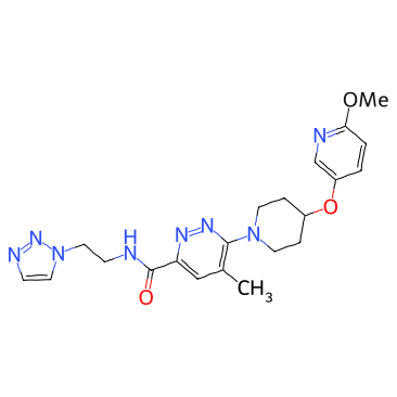 COc1ccc(OC2CCN(c3nnc(C(=O)NCCn4ccnn4)cc3C)CC2)cn1